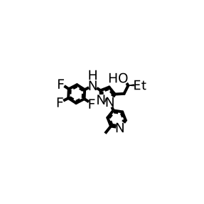 CC[C@H](O)Cc1cc(Nc2cc(F)c(F)cc2F)nn1-c1ccnc(C)c1